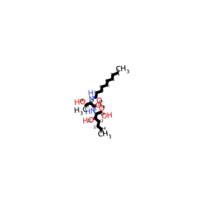 CCCCCCCCCC(=O)NC(C(=O)NC(C(=O)O)C(O)CCCC)C(C)O